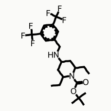 CCC1CC(NCc2cc(C(F)(F)F)cc(C(F)(F)F)c2)CC(CC)N1C(=O)OC(C)(C)C